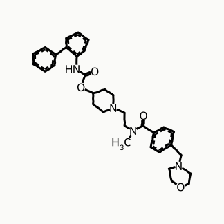 CN(CCN1CCC(OC(=O)Nc2ccccc2-c2ccccc2)CC1)C(=O)c1ccc(CN2CCOCC2)cc1